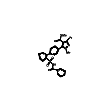 CCCn1nc(C(C)C)c(C(=O)NC)c1-c1ccc(-c2ccccc2S(=O)(=O)NC(=O)c2ccccc2)cc1